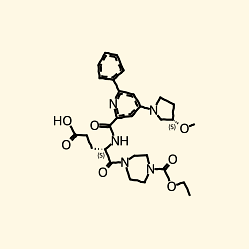 CCOC(=O)N1CCN(C(=O)[C@H](CCC(=O)O)NC(=O)c2cc(N3CC[C@H](OC)C3)cc(-c3ccccc3)n2)CC1